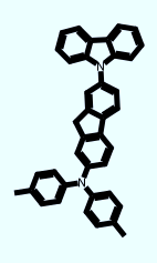 Cc1ccc(N(c2ccc(C)cc2)c2ccc3c(c2)Cc2cc(-n4c5ccccc5c5ccccc54)ccc2-3)cc1